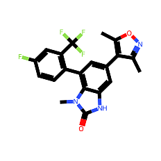 Cc1noc(C)c1-c1cc(-c2ccc(F)cc2C(F)(F)F)c2c(c1)[nH]c(=O)n2C